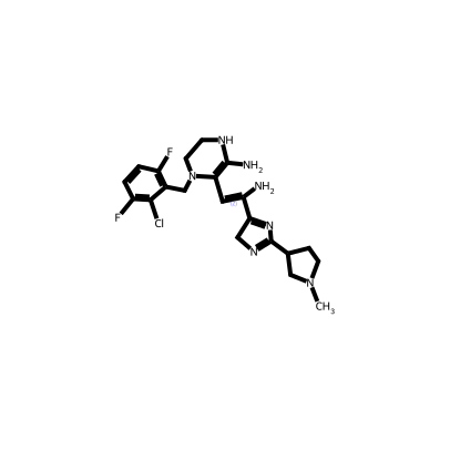 CN1CCC(C2=NCC(/C(N)=C/C3=C(N)NCCN3Cc3c(F)ccc(F)c3Cl)=N2)C1